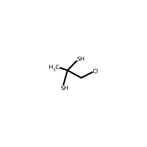 CC(S)(S)CCl